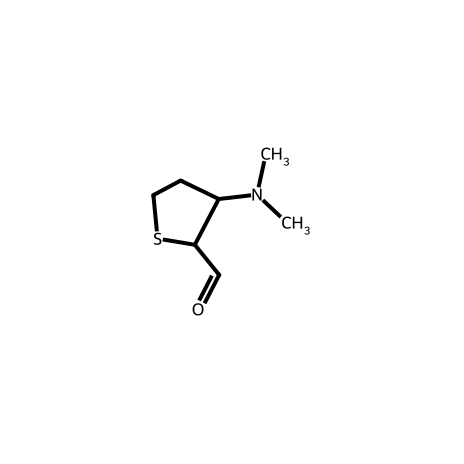 CN(C)C1CCSC1C=O